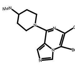 CNC1CCN(c2nc(Cl)c(Br)n3cncc23)CC1